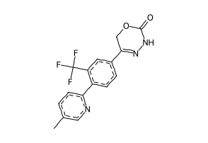 Cc1ccc(-c2ccc(C3=NNC(=O)OC3)cc2C(F)(F)F)nc1